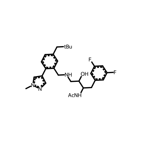 CC(=O)NC(Cc1cc(F)cc(F)c1)C(O)CNCc1cc(CC(C)(C)C)ccc1-c1cnn(C)c1